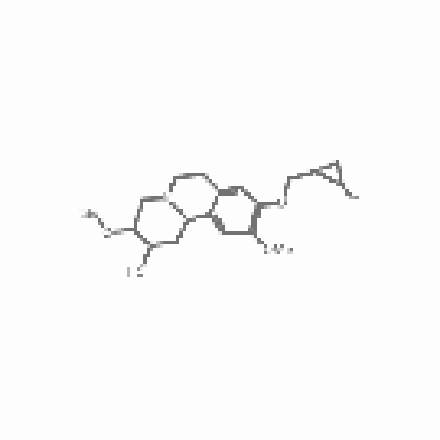 COc1cc2c(cc1OCC1CC1F)CCN1CC(OC(C)(C)C)C(O)CC21